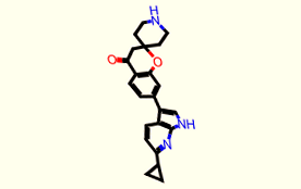 O=C1CC2(CCNCC2)Oc2cc(-c3c[nH]c4nc(C5CC5)ccc34)ccc21